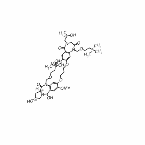 COc1cc2c(cc1OCCCOc1cc3c(cc1OC)C(O)N1C[C@H](O)C[C@H]1C(=O)N3COCC[Si](C)(C)C)N(COCC[Si](C)(C)C)C(=O)CN(C[C@@H](C)O)C2=O